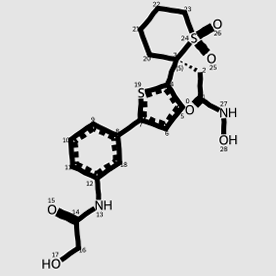 O=C(C[C@]1(c2ccc(-c3cccc(NC(=O)CO)c3)s2)CCCCS1(=O)=O)NO